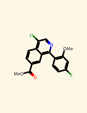 COC(=O)c1ccc2c(Cl)cnc(-c3ccc(F)cc3OC)c2c1